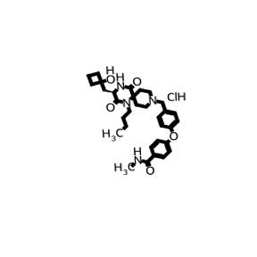 CCCCN1C(=O)[C@@H](CC2(O)CCC2)NC(=O)C12CCN(Cc1ccc(Oc3ccc(C(=O)NC)cc3)cc1)CC2.Cl